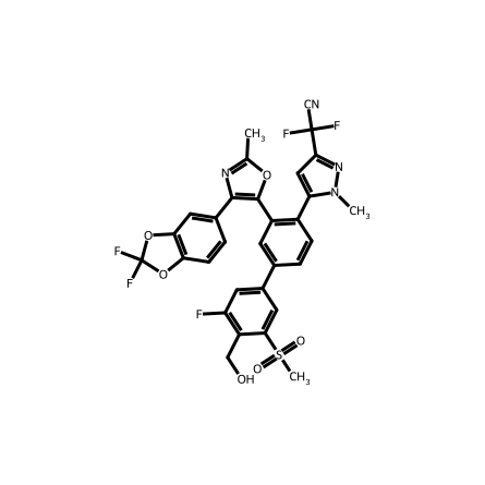 Cc1nc(-c2ccc3c(c2)OC(F)(F)O3)c(-c2cc(-c3cc(F)c(CO)c(S(C)(=O)=O)c3)ccc2-c2cc(C(F)(F)C#N)nn2C)o1